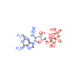 [N-]=[N+]=NC1[C@H](n2cnc3c(N)nc(N)nc32)O[C@H](COP(=O)(O)OP(=O)(O)OP(=O)(O)O)[C@H]1O